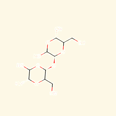 OCC1O[C@H](O)C(O)O[C@H]1O[C@@H]1OC(CO)[C@@H](O)OC1O